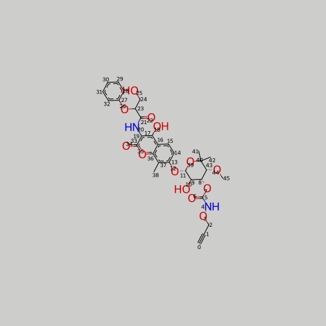 C#CCONC(=O)O[C@@H]1[C@@H](O)[C@H](Oc2ccc3c(O)c(NC(=O)C(CO)Oc4ccccc4)c(=O)oc3c2C)OC(C)(C)[C@@H]1OC